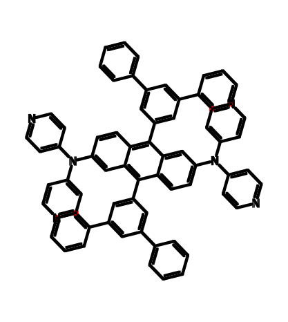 c1ccc(-c2cc(-c3ccccc3)cc(-c3c4ccc(N(c5ccncc5)c5ccncc5)cc4c(-c4cc(-c5ccccc5)cc(-c5ccccc5)c4)c4ccc(N(c5ccncc5)c5ccncc5)cc34)c2)cc1